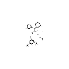 CN(CNNC=O)C(COCc1cc(C(F)(F)F)cc(C(F)(F)F)c1)C(c1ccccc1)c1ccccc1